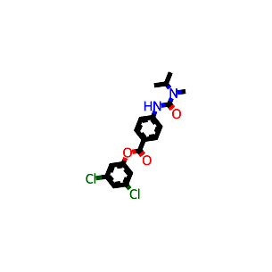 CC(C)N(C)C(=O)Nc1ccc(C(=O)Oc2cc(Cl)cc(Cl)c2)cc1